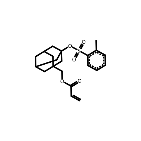 C=CC(=O)OCC12CC3CC(C1)CC(OS(=O)(=O)c1ccccc1C)(C3)C2